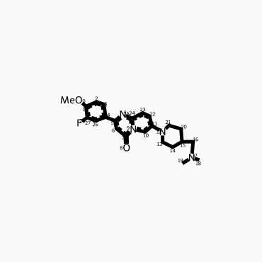 COc1ccc(-c2cc(=O)n3cc(N4CCC(CN(C)C)CC4)ccc3n2)cc1F